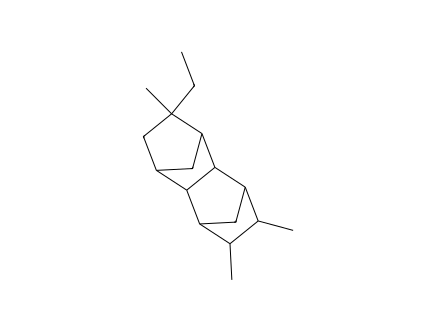 CCC1(C)CC2CC1C1C3CC(C(C)C3C)C21